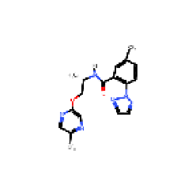 CCN(C(=O)c1cc(C(F)(F)F)ccc1-n1nccn1)[C@@H](C)COc1cnc(C(F)(F)F)cn1